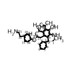 CC[C@H](c1ccccc1)c1c(N)c(O)c(C(C)C)c(C(C)C)c1CCOc1ccc(CCN)cc1